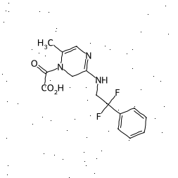 CC1=CN=C(NCC(F)(F)c2ccccc2)CN1C(=O)C(=O)O